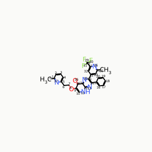 Cc1cccc(CCOc2c[nH]c3nc(-c4ccccc4)c(-c4cc(C)nc(C(F)(F)F)c4)nc3c2=O)n1